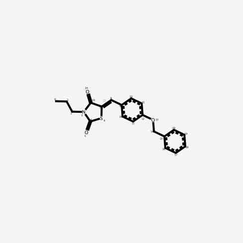 CCCN1C(=O)S/C(=C\c2ccc(OCc3ccccc3)cc2)C1=O